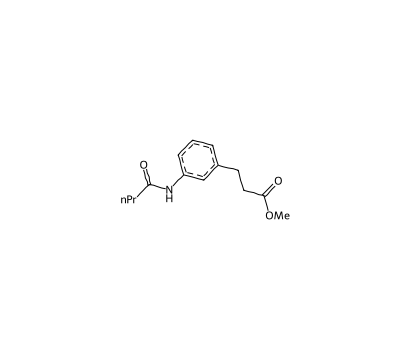 CCCC(=O)Nc1cccc(CCC(=O)OC)c1